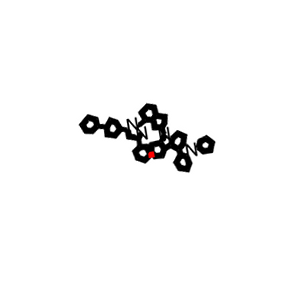 c1ccc(-c2ccc(-c3cc(-c4ccccc4)nc(-c4cccc5ccc(-n6c7ccccc7c7c8c9ccccc9n(-c9ccccc9)c8ccc76)cc45)n3)cc2)cc1